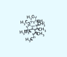 BC(CC)CCC(=C)C(CCC)CC(C)C(C(C)CC)[C@H](C)CCC